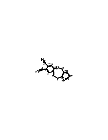 N#CC1=C/C2=C/Cc3ncccc3COC2C=C1C#N